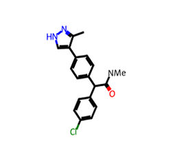 CNC(=O)C(c1ccc(Cl)cc1)c1ccc(-c2c[nH]nc2C)cc1